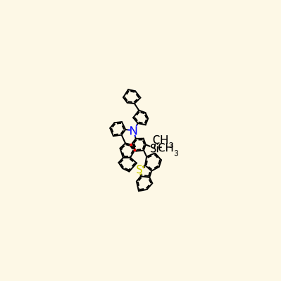 C[Si]1(C)c2cc(N(c3cccc(-c4ccccc4)c3)c3ccccc3-c3ccc4ccccc4c3)ccc2-c2c1ccc1c2sc2ccccc21